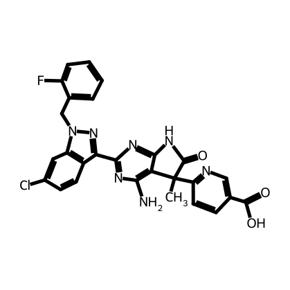 CC1(c2ccc(C(=O)O)cn2)C(=O)Nc2nc(-c3nn(Cc4ccccc4F)c4cc(Cl)ccc34)nc(N)c21